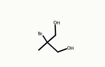 CC(Br)(CO)CO